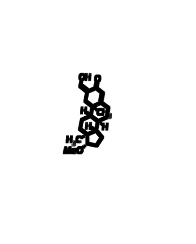 CO[C@H]1CC[C@H]2[C@@H]3CCC4=CC(=O)C(=CO)C[C@]4(C)[C@H]3CC[C@]12C